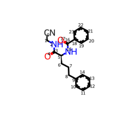 N#CCNC(=O)[C@H](CCCc1ccccc1)NC(=O)c1ccccc1